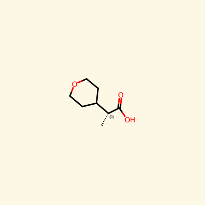 C[C@@H](C(=O)O)C1CCOCC1